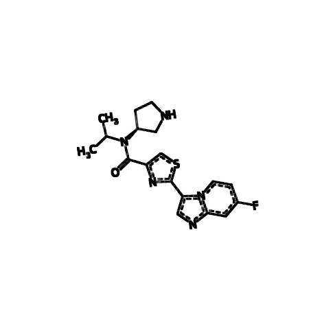 CC(C)N(C(=O)c1csc(-c2cnc3cc(F)ccn23)n1)[C@H]1CCNC1